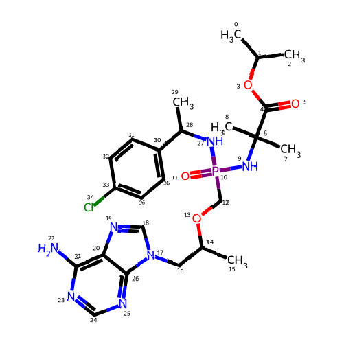 CC(C)OC(=O)C(C)(C)NP(=O)(COC(C)Cn1cnc2c(N)ncnc21)NC(C)c1ccc(Cl)cc1